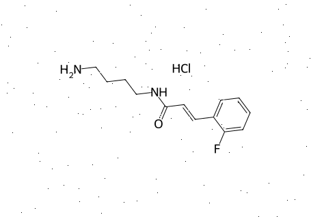 Cl.NCCCCNC(=O)/C=C/c1ccccc1F